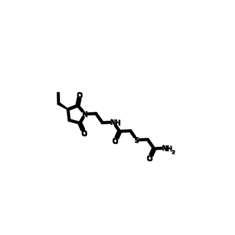 CC[C@@H]1CC(=O)N(CCNC(=O)CSCC(N)=O)C1=O